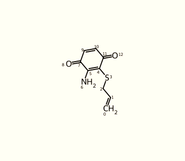 C=CCSC1=C(N)C(=O)C=CC1=O